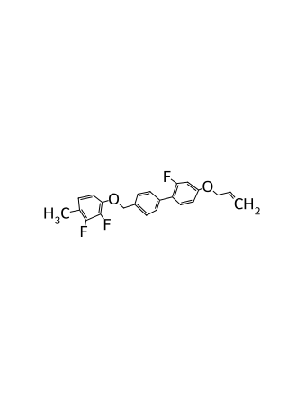 C=CCOc1ccc(-c2ccc(COc3ccc(C)c(F)c3F)cc2)c(F)c1